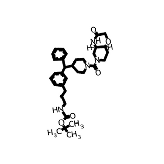 CC(C)(C)OC(=O)NCCCc1cccc(C(c2ccccc2)C2CCN(C(=O)N3CC[C@@H]4OCC(=O)N[C@@H]4C3)CC2)c1